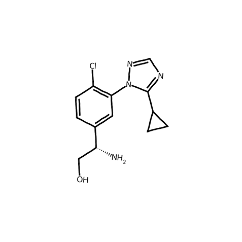 N[C@H](CO)c1ccc(Cl)c(-n2ncnc2C2CC2)c1